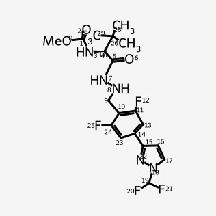 COC(=O)N[C@H](C(=O)NNCc1c(F)cc(-c2ccn(C(F)F)n2)cc1F)C(C)(C)C(F)(F)F